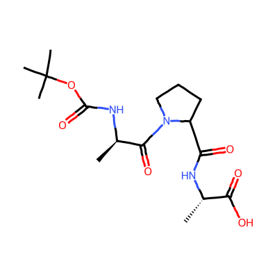 C[C@H](NC(=O)C1CCCN1C(=O)[C@@H](C)NC(=O)OC(C)(C)C)C(=O)O